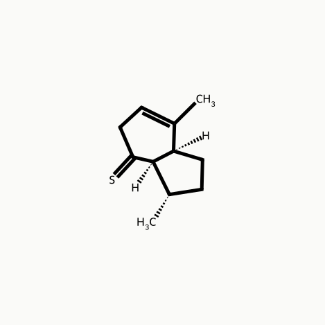 CC1=CCC(=S)[C@H]2[C@@H]1CC[C@@H]2C